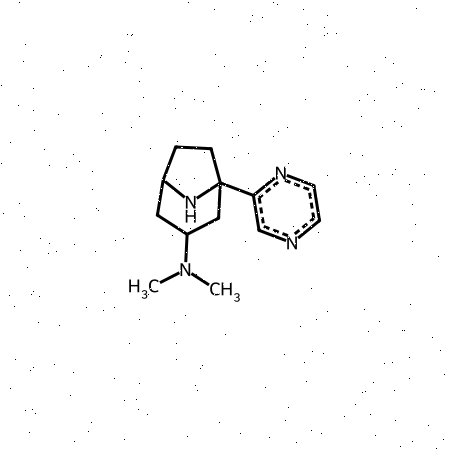 CN(C)C1CC2CCC(c3cnccn3)(C1)N2